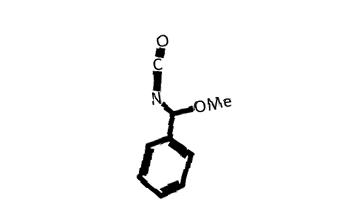 COC(N=C=O)c1ccccc1